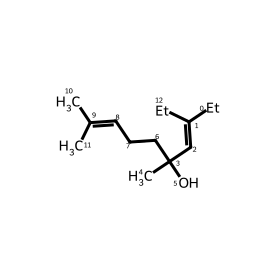 CCC(=CC(C)(O)CCC=C(C)C)CC